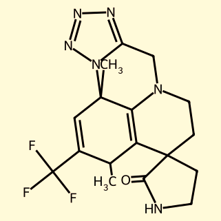 CC1C(C(F)(F)F)=CC2(C)C3=C1C1(CCNC1=O)CCN3Cc1nnnn12